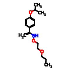 C=C(NOCCOCCC)c1ccc(OC(C)C)cc1